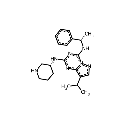 CC(C)c1cnn2c(N[C@@H](C)c3ccccc3)nc(N[C@@H]3CCCNC3)nc12